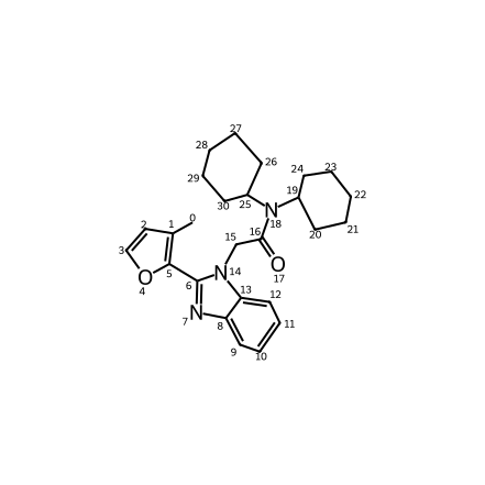 Cc1ccoc1-c1nc2ccccc2n1CC(=O)N(C1CCCCC1)C1CCCCC1